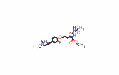 CCOC(=O)c1nc(NC(C)=O)sc1CCCOc1ccc(C#CCN(C)C)cc1F